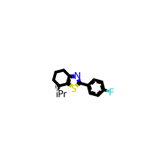 CC(C)[C@H]1CCCc2nc(-c3ccc(F)cc3)sc21